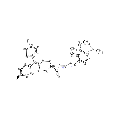 COc1ccc(/C=C/C=C/C(=O)N2CCN(C(c3ccc(F)cc3)c3ccc(F)cc3)CC2)c(OC)c1OC